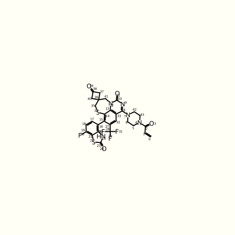 C=CC(=O)N1CCN(c2nc(=O)n3c4c(c(-c5ccc(F)c6sc(=O)[nH]c56)c(C(F)(F)F)cc24)SCC2(CC(=O)C2)C3)CC1